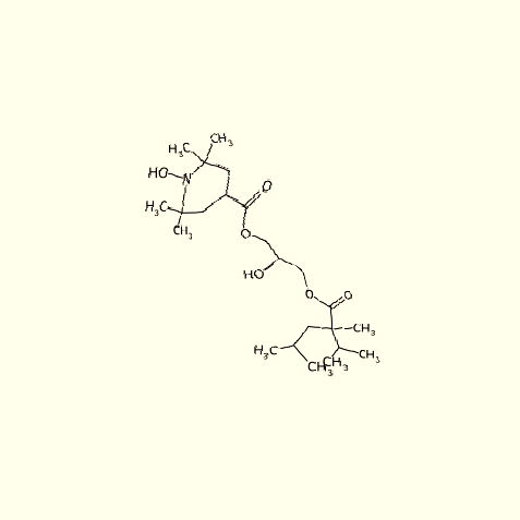 CC(C)CC(C)(C(=O)OCC(O)COC(=O)C1CC(C)(C)N(O)C(C)(C)C1)C(C)C